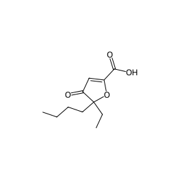 CCCCC1(CC)OC(C(=O)O)=CC1=O